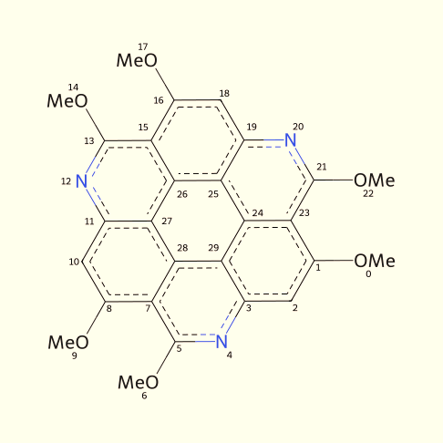 COc1cc2nc(OC)c3c(OC)cc4nc(OC)c5c(OC)cc6nc(OC)c1c1c6c5c4c3c21